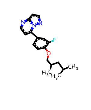 CC(C)CC(C)COc1ccc(-c2ccnc3ccnn23)cc1F